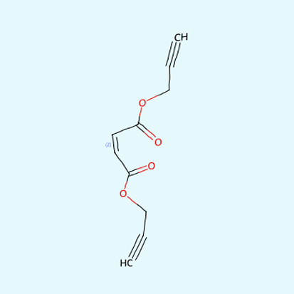 C#CCOC(=O)/C=C\C(=O)OCC#C